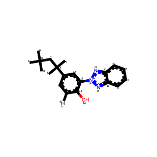 [2H]c1cc(C(C)(C)CC(C)(C)C)cc(-n2nc3ccccc3n2)c1O